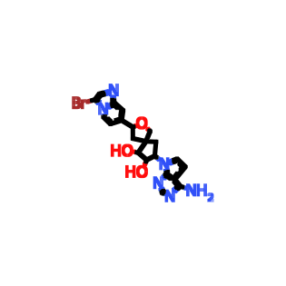 Nc1ncnc2c1ccn2C1CC2(COC(c3ccn4c(Br)cnc4c3)C2)C(O)C1O